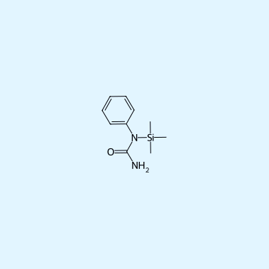 C[Si](C)(C)N(C(N)=O)c1ccccc1